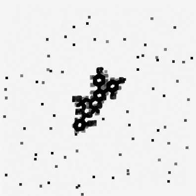 CC(O)(CNC(=O)c1ccccc1O)CC1CC(C)(C)Oc2nc(-c3ccc(Br)cc3Cl)c(-c3ccc(Cl)cc3)cc21